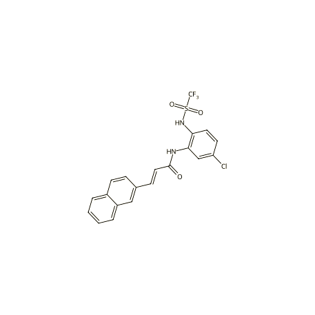 O=C(/C=C/c1ccc2ccccc2c1)Nc1cc(Cl)ccc1NS(=O)(=O)C(F)(F)F